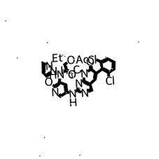 CCn1ccc(Oc2ncc(Nc3ncc4cc(-c5c(Cl)cccc5Cl)c(=O)n(C)c4n3)cc2NC(=O)COC(C)=O)n1